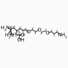 NCCCOCCOCCOCCCC(CC(N)=O)[C@H](N)C(=O)O